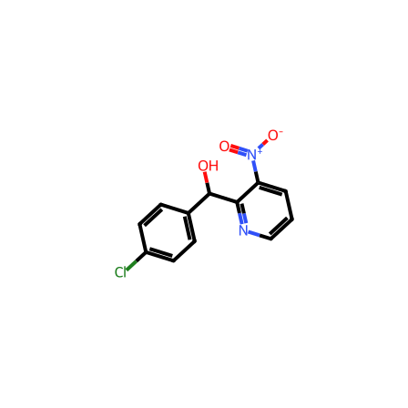 O=[N+]([O-])c1cccnc1C(O)c1ccc(Cl)cc1